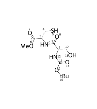 COC(=O)[C@H](CS)NC(=O)[C@H](CO)NC(=O)OC(C)(C)C